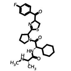 CN[C@@H](C)C(=O)N[C@H](C(=O)N1CCCC1C1=NC(C(=O)c2ccc(F)cc2)CS1)C1CCCCC1